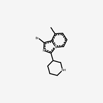 Cc1cccn2c(C3CCCNC3)nc(Br)c12